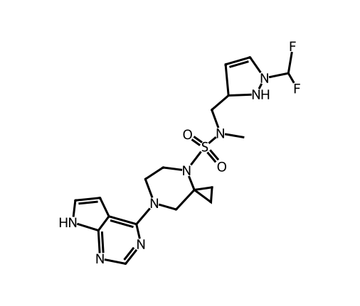 CN(CC1C=CN(C(F)F)N1)S(=O)(=O)N1CCN(c2ncnc3[nH]ccc23)CC12CC2